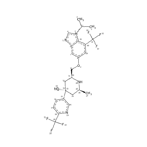 CC(C)n1cnc2cc(OC[C@@H]3C[C@](O)(c4ccc(C(F)(F)F)nc4)C[C@H](C)N3)cc(C(F)(F)F)c21